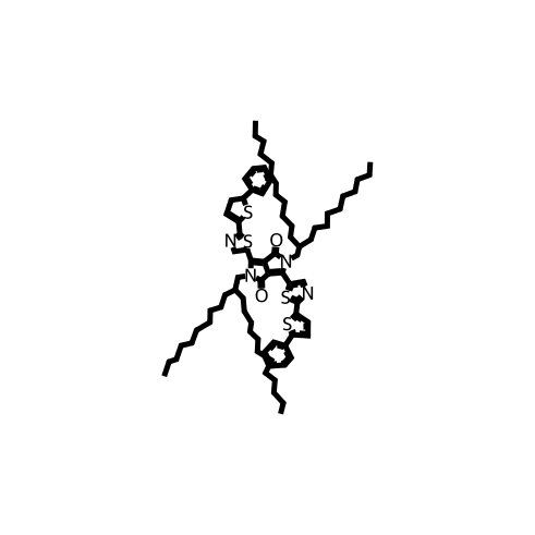 CCCCCCCCCCCCC(CCCCCCCCCC)CN1C(=O)C2=C(C3CN=C(C4=CCC(c5ccccc5)S4)S3)N(CC(CCCCCCCCCC)CCCCCCCCCCCC)C(=O)C2=C1c1cnc(-c2ccc(-c3ccccc3)s2)s1